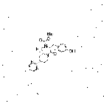 CN(C(=O)OC(C)(C)C)C(Cc1ccc(O)cc1)C(=O)N1CCN(c2ncccn2)CC1